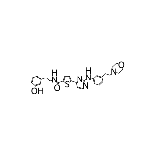 O=C(NCCc1cccc(O)c1)c1ccc(-c2ccnc(Nc3cccc(CCN4CCOCC4)c3)n2)s1